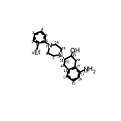 CCc1ccccc1N1CCN([C@H]2Cc3cccc(N)c3C[C@@H]2O)CC1